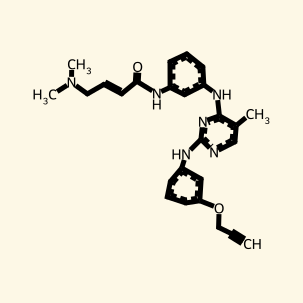 C#CCOc1cccc(Nc2ncc(C)c(Nc3cccc(NC(=O)/C=C/CN(C)C)c3)n2)c1